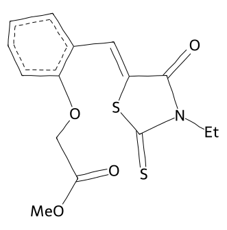 CCN1C(=O)C(=Cc2ccccc2OCC(=O)OC)SC1=S